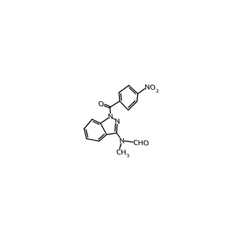 CN(C=O)c1nn(C(=O)c2ccc([N+](=O)[O-])cc2)c2ccccc12